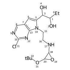 CCC(O)C(O)c1cc2cnc(Cl)nc2n1CCNC1OC1OC(C)(C)C